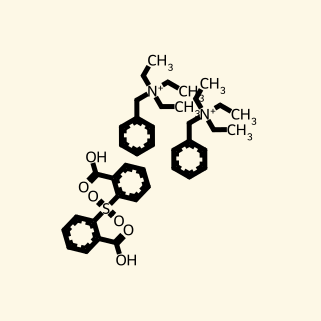 CC[N+](CC)(CC)Cc1ccccc1.CC[N+](CC)(CC)Cc1ccccc1.O=C(O)c1ccccc1S(=O)(=O)c1ccccc1C(=O)O